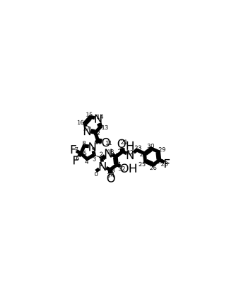 Cn1c([C@@H]2CC(F)(F)CN2C(=O)c2cnccn2)nc(C(=O)NCc2ccc(F)cc2)c(O)c1=O